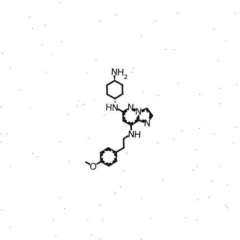 COc1ccc(CCNc2cc(N[C@H]3CC[C@H](N)CC3)nn3ccnc23)cc1